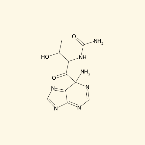 CC(O)C(NC(N)=O)C(=O)C1(N)N=CN=C2N=CN=C21